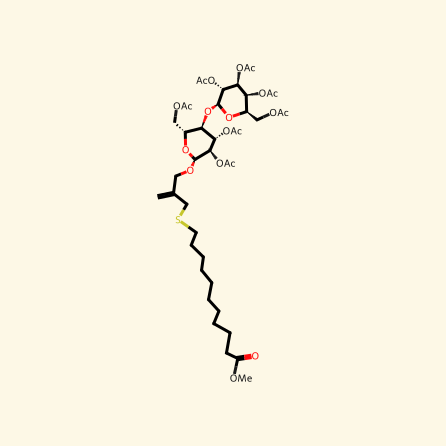 C=C(CO[C@H]1O[C@H](COC(C)=O)[C@@H](O[C@@H]2O[C@H](COC(C)=O)[C@H](OC(C)=O)[C@H](OC(C)=O)[C@H]2OC(C)=O)[C@H](OC(C)=O)[C@H]1OC(C)=O)CSCCCCCCCCCCC(=O)OC